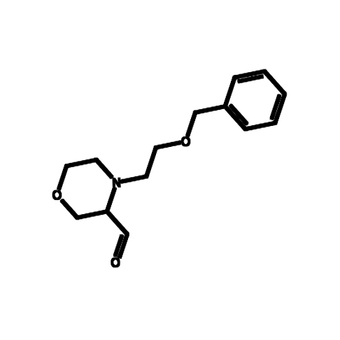 O=CC1COCCN1CCOCc1ccccc1